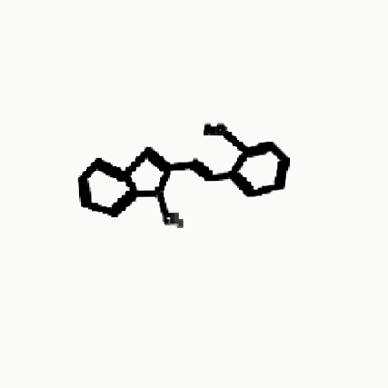 CC(=O)Oc1ccccc1/C=C/c1cc2ccccc2n1C